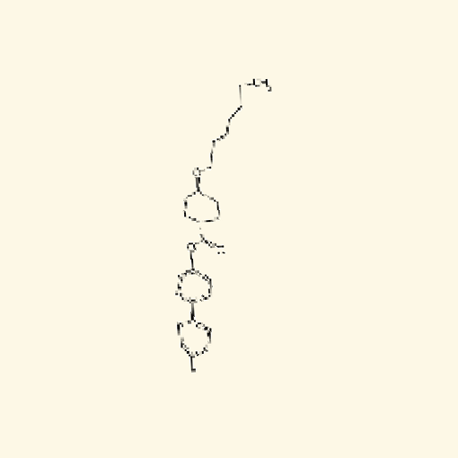 CCCCCCCO[C@H]1CC[C@H](C(=O)Oc2ccc(-c3ccc(F)cc3)cc2)CC1